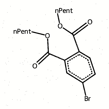 CCCCCOC(=O)c1ccc(Br)cc1C(=O)OCCCCC